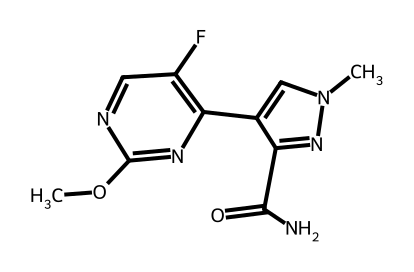 COc1ncc(F)c(-c2cn(C)nc2C(N)=O)n1